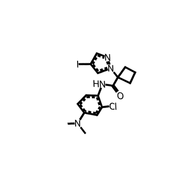 CN(C)c1ccc(NC(=O)C2(n3cc(I)cn3)CCC2)c(Cl)c1